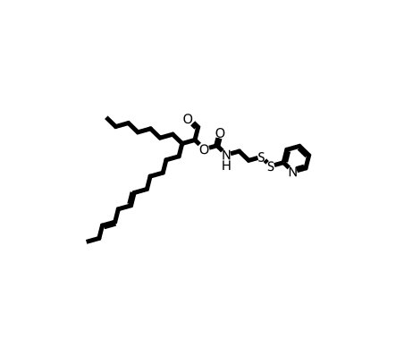 CCC=CCC=CCCCCCC(CCCCCCC)C(C=O)OC(=O)NCCSSc1ccccn1